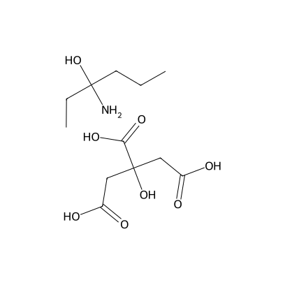 CCCC(N)(O)CC.O=C(O)CC(O)(CC(=O)O)C(=O)O